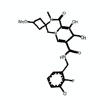 COC1CC2(C1)CN1C=C(C(=O)NCc3cccc(Cl)c3F)C(O)C(O)=C1C(=O)N2C